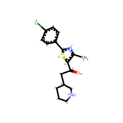 Cc1nc(-c2ccc(Cl)cc2)sc1C(=O)CC1CCCNC1